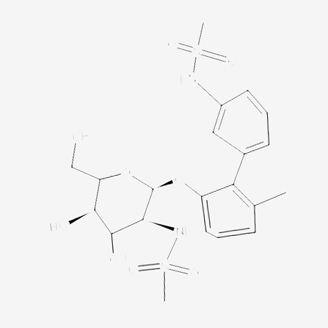 Cc1cccc(O[C@@H]2OC(CO)[C@H](O)C(O)[C@@H]2NS(C)(=O)=O)c1-c1cccc(NS(C)(=O)=O)c1